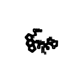 COC[C@@H]1CCc2cc3c(c(NC(=O)N=[S@@](N)(=O)c4cnn5c4OCC5)c21)CCC3